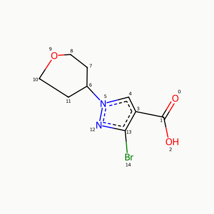 O=C(O)c1cn(C2CCOCC2)nc1Br